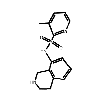 Cc1cccnc1S(=O)(=O)Nc1cccc2c1CNCC2